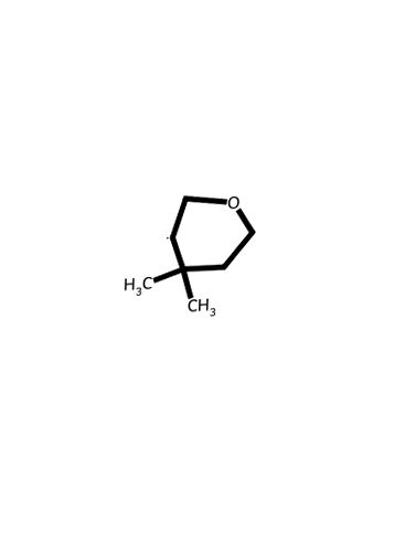 CC1(C)[CH]COCC1